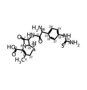 CC1=C(C(=O)O)N2C(=O)C(NC(=O)C(N)c3ccc(NC(N)=S)cc3)[C@H]2SC1